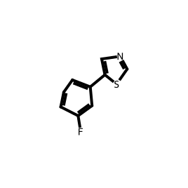 Fc1cccc(-c2cncs2)c1